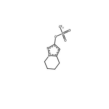 O=S(=O)(Oc1cc2n(n1)CCCC2)C(F)(F)F